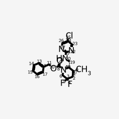 C[C@@H]1CC(F)(F)CN(C(=O)OCc2ccccc2)[C@@H]1CNc1ncc(Cl)cn1